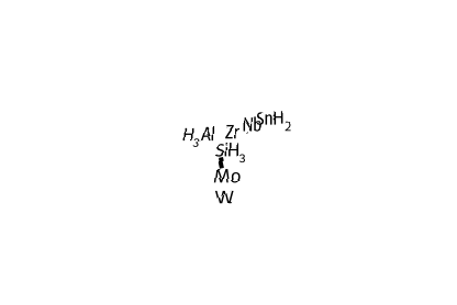 [AlH3].[Nb].[SiH3][Mo].[SnH2].[W].[Zr]